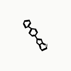 C1=C(c2ccc(-c3ccccc3)cc2)Cc2cccnc21